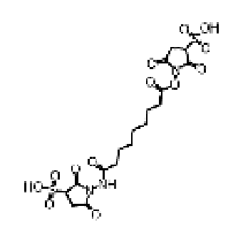 O=C(CCCCCCCC(=O)ON1C(=O)CC(S(=O)(=O)O)C1=O)NN1C(=O)CC(S(=O)(=O)O)C1=O